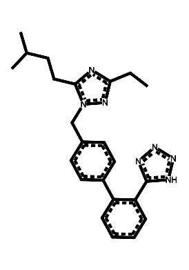 CCc1nc(CCC(C)C)n(Cc2ccc(-c3ccccc3-c3nnn[nH]3)cc2)n1